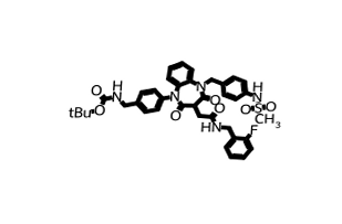 CC(C)(C)OC(=O)NCc1ccc(N2C(=O)C(CC(=O)NCc3ccccc3F)C(=O)N(Cc3ccc(NS(C)(=O)=O)cc3)c3ccccc32)cc1